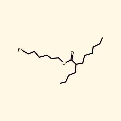 CCCCCCC(CCCC)C(=O)OCCCCCCBr